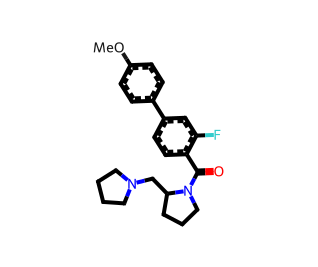 COc1ccc(-c2ccc(C(=O)N3CCCC3CN3CCCC3)c(F)c2)cc1